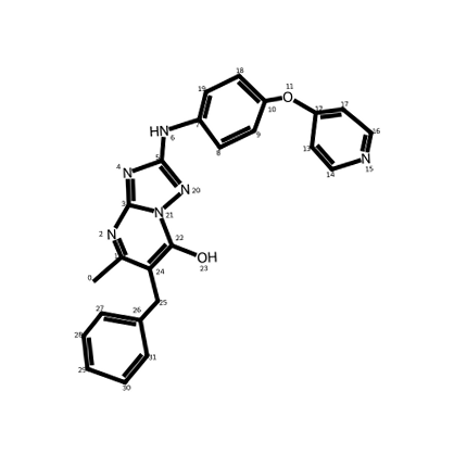 Cc1nc2nc(Nc3ccc(Oc4ccncc4)cc3)nn2c(O)c1Cc1ccccc1